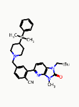 Cn1c(=O)n(CC(C)(C)C)c2ccc(-c3cc(CN4CCC([Si](C)(C)c5ccccc5)CC4)ccc3C#N)nc21